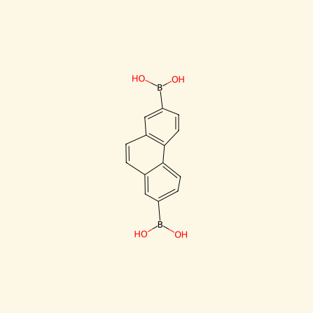 OB(O)c1ccc2c(ccc3cc(B(O)O)ccc32)c1